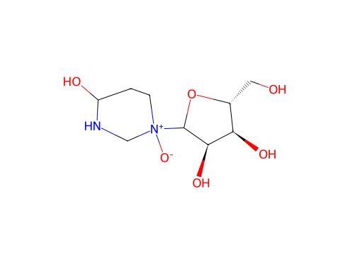 [O-][N+]1(C2O[C@H](CO)[C@@H](O)[C@H]2O)CCC(O)NC1